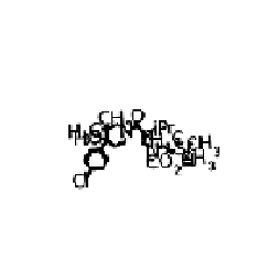 CC(C)[C@@H](CN(CC[Si](C)(C)C)C(=O)O)C(=O)N1CC[C@](O)(c2ccc(Cl)cc2)C(C)(C)C1